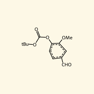 COc1cc(C=O)ccc1OC(=O)OC(C)(C)C